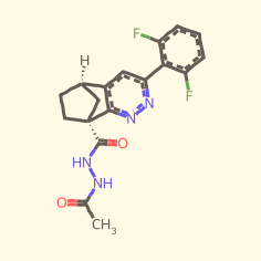 CC(=O)NNC(=O)[C@]12CC[C@H](C1)c1cc(-c3c(F)cccc3F)nnc12